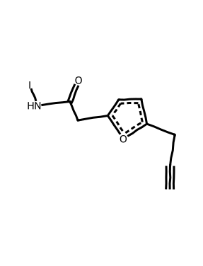 C#CCc1ccc(CC(=O)NI)o1